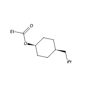 CCC(=O)O[C@H]1CC[C@@H](CC(C)C)CC1